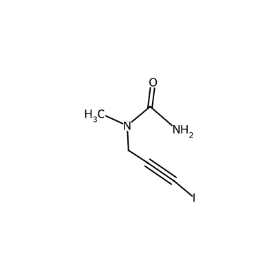 CN(CC#CI)C(N)=O